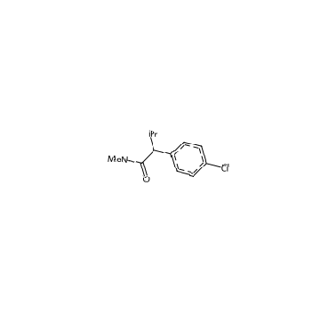 CNC(=O)C(c1ccc(Cl)cc1)C(C)C